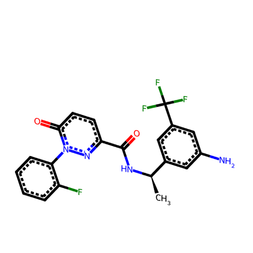 C[C@@H](NC(=O)c1ccc(=O)n(-c2ccccc2F)n1)c1cc(N)cc(C(F)(F)F)c1